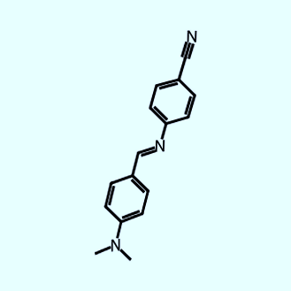 CN(C)c1ccc(C=Nc2ccc(C#N)cc2)cc1